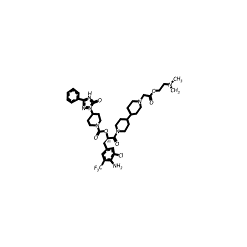 CN(C)CCOC(=O)CN1CCC(C2CCN(C(=O)[C@@H](Cc3cc(Cl)c(N)c(C(F)(F)F)c3)OC(=O)N3CCC(n4nc(-c5ccccc5)[nH]c4=O)CC3)CC2)CC1